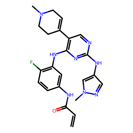 C=CC(=O)Nc1ccc(F)c(Nc2nc(Nc3cnn(C)c3)ncc2C2=CCN(C)CC2)c1